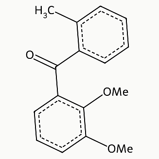 COc1cccc(C(=O)c2ccccc2C)c1OC